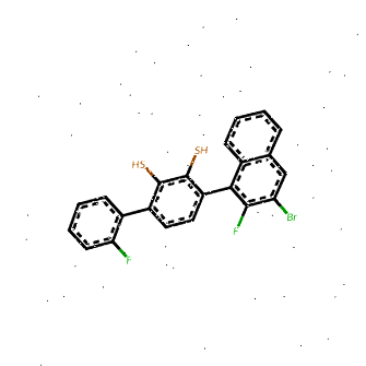 Fc1ccccc1-c1ccc(-c2c(F)c(Br)cc3ccccc23)c(S)c1S